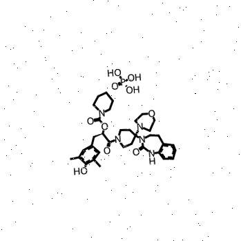 Cc1cc(C[C@@H](OC(=O)N2CCCCC2)C(=O)N2CCC(N3CCOCC3)(N3CCc4ccccc4NC3=O)CC2)cc(C)c1O.O=P(O)(O)O